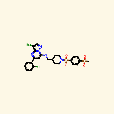 CS(=O)(=O)c1ccc(S(=O)(=O)N2CCC(CNc3cc(-c4ccccc4Cl)nc4c(Br)cnn34)CC2)cc1